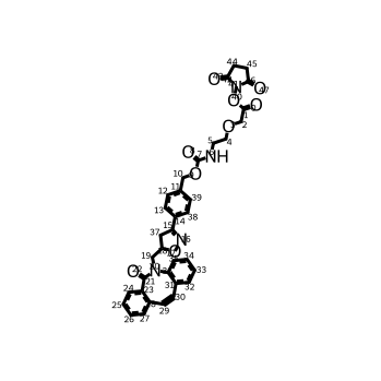 O=C(COCCNC(=O)OCc1ccc(C2=NOC(CN3C(=O)c4ccccc4C#Cc4ccccc43)C2)cc1)ON1C(=O)CCC1=O